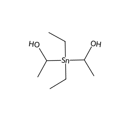 C[CH2][Sn]([CH2]C)([CH](C)O)[CH](C)O